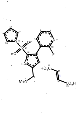 CNCc1cc(-c2cccnc2F)c(S(=O)(=O)n2cccc2)s1.O=C(O)/C=C/C(=O)O